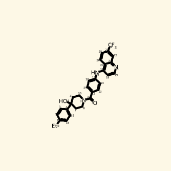 CCc1ccc(C2(O)CCN(C(=O)c3ccc(Nc4ccnc5cc(C(F)(F)F)ccc45)cc3)CC2)cc1